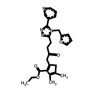 CCOC(=O)C1=C(CC(=O)CCc2nnc(-c3cccnc3)n2Cc2ccco2)CC(C)=C1C